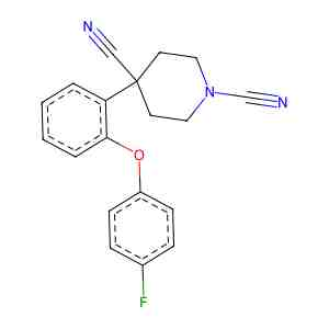 N#CN1CCC(C#N)(c2ccccc2Oc2ccc(F)cc2)CC1